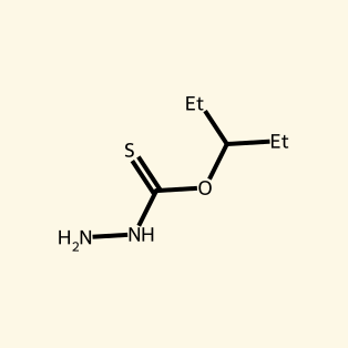 CCC(CC)OC(=S)NN